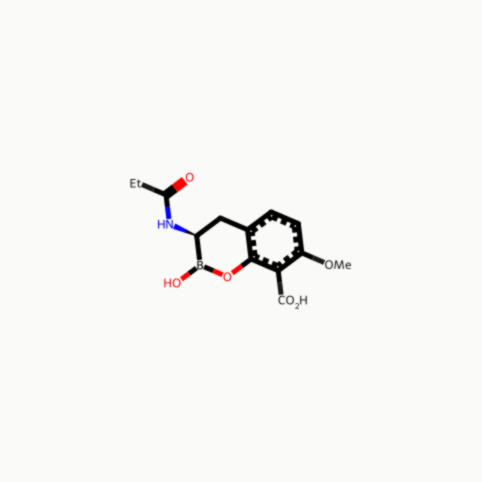 CCC(=O)N[C@H]1Cc2ccc(OC)c(C(=O)O)c2OB1O